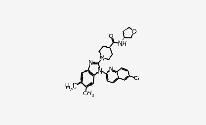 Cc1cc2nc(N3CCC(C(=O)N[C@@H]4CCOC4)CC3)n(-c3ccc4cc(Cl)ccc4n3)c2cc1C